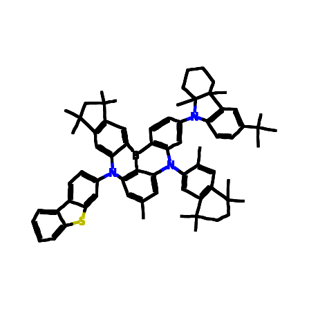 Cc1cc2c3c(c1)N(c1cc4c(cc1C)C(C)(C)CCC4(C)C)c1cc(N4c5ccc(C(C)(C)C)cc5C5(C)CCCCC45C)ccc1B3c1cc3c(cc1N2c1ccc2c(c1)sc1ccccc12)C(C)(C)CC3(C)C